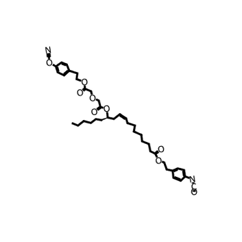 CCCCCC[C@H](C/C=C\CCCCCCCC(=O)OCCc1ccc(N=C=O)cc1)OC(=O)COCC(=O)OCCc1ccc(OC#N)cc1